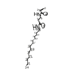 C=C(C)C(=O)NCCC(=O)NCCCCCCCCCCCCCC